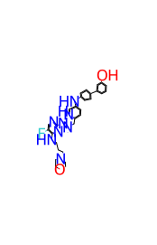 CN(Cc1ccc(Nc2ccc(-c3cccc(O)c3)cc2)cn1)Nc1ncc(F)c(NCCCN2CCOCC2)n1